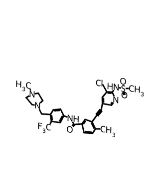 Cc1ccc(C(=O)Nc2ccc(CN3CCN(C)CC3)c(C(F)(F)F)c2)cc1C#Cc1cnc(NS(C)(=O)=O)c(Cl)c1